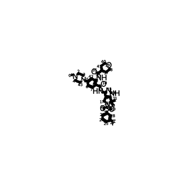 CN1CCN(c2ccc(C(=O)Nc3n[nH]c4c3CN(S(=O)(=O)c3cccc(F)c3)C4(C)C)c(NC(=O)C3CCOCC3)c2)CC1